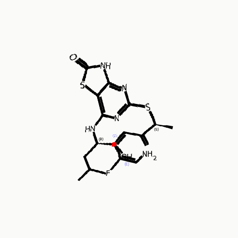 C=C(/C=C\C(F)=C/N)[C@H](C)Sc1nc(N[C@@H](CO)CC(C)C)c2sc(=O)[nH]c2n1